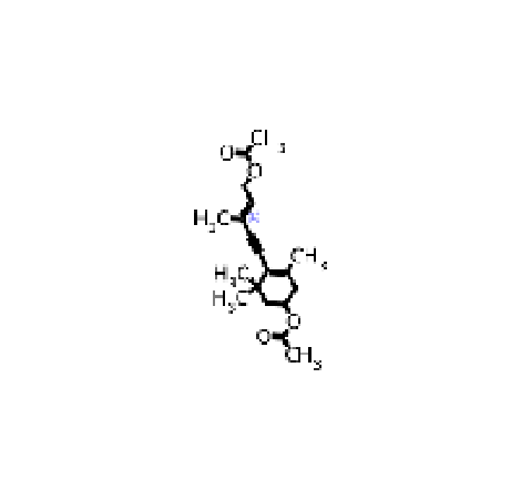 CC(=O)OC/C=C(\C)C#CC1=C(C)CC(OC(C)=O)CC1(C)C